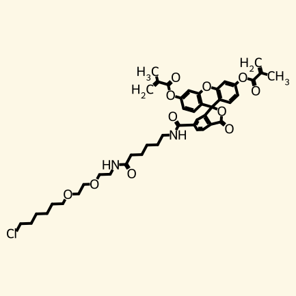 C=C(C)C(=O)Oc1ccc2c(c1)Oc1cc(OC(=O)C(=C)C)ccc1C21OC(=O)c2ccc(C(=O)NCCCCCC(=O)NCCOCCOCCCCCCCl)cc21